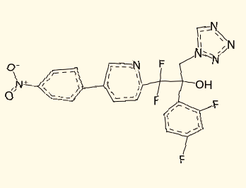 O=[N+]([O-])c1ccc(-c2ccc(C(F)(F)C(O)(Cn3cnnn3)c3ccc(F)cc3F)nc2)cc1